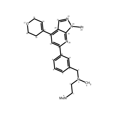 CNCCN(C)Cc1cccc(-c2cc(C3=CCOCC3)c3cnn(C(C)C)c3n2)c1